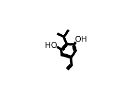 C=Cc1cc(O)c(C(C)C)c(O)c1